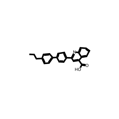 CCCc1ccc(-c2ccc(-c3cc(C(=O)O)c4ccccc4n3)cc2)cc1